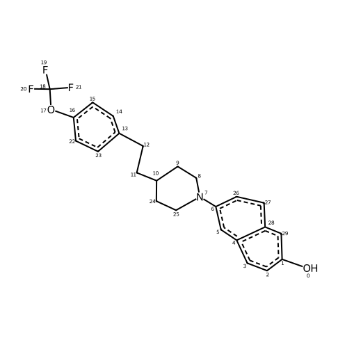 Oc1ccc2cc(N3CCC(CCc4ccc(OC(F)(F)F)cc4)CC3)ccc2c1